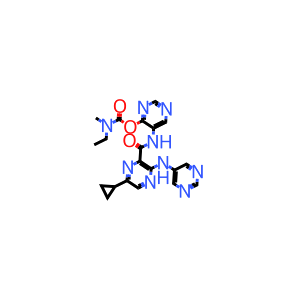 CCN(C)C(=O)Oc1ncncc1NC(=O)c1nc(C2CC2)cnc1Nc1cncnc1